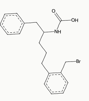 O=C(O)NC(CCCc1ccccc1CBr)Cc1ccccc1